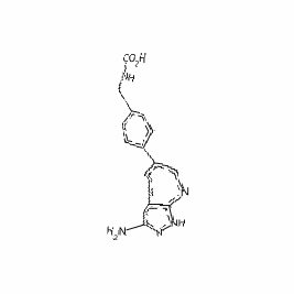 Nc1n[nH]c2ncc(-c3ccc(CNC(=O)O)cc3)cc12